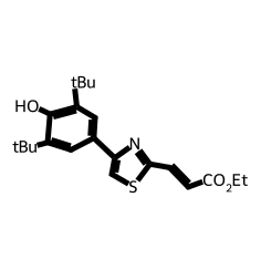 CCOC(=O)C=Cc1nc(-c2cc(C(C)(C)C)c(O)c(C(C)(C)C)c2)cs1